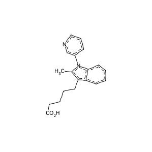 Cc1c(CCCCC(=O)O)c2ccccc2n1-c1cccnc1